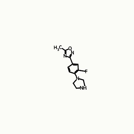 Cc1nc(-c2ccc(N3CCNCC3)c(F)c2)no1